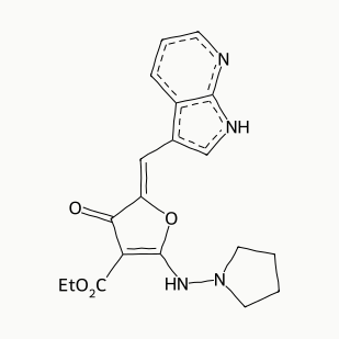 CCOC(=O)C1=C(NN2CCCC2)O/C(=C\c2c[nH]c3ncccc23)C1=O